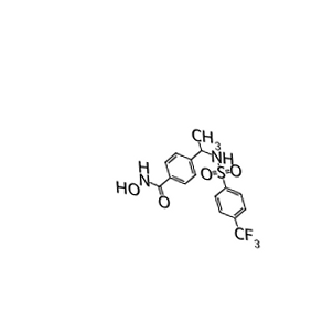 CC(NS(=O)(=O)c1ccc(C(F)(F)F)cc1)c1ccc(C(=O)NO)cc1